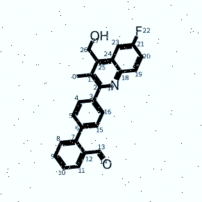 Cc1c(-c2ccc(-c3ccccc3C=O)cc2)nc2ccc(F)cc2c1CO